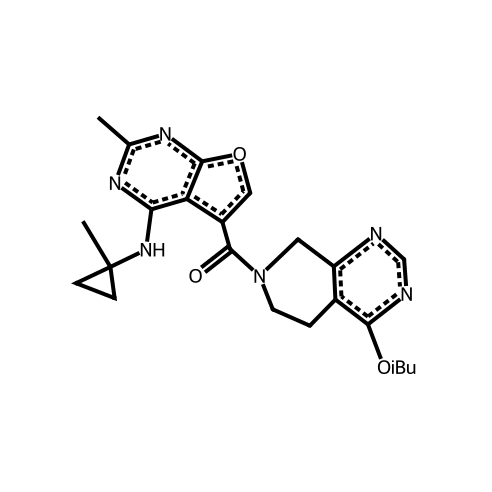 Cc1nc(NC2(C)CC2)c2c(C(=O)N3CCc4c(ncnc4OCC(C)C)C3)coc2n1